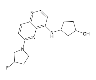 OC1CCC(Nc2ccnc3ccc(N4CCC(F)C4)nc23)C1